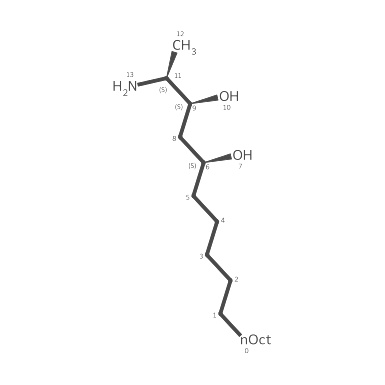 CCCCCCCCCCCCC[C@H](O)C[C@H](O)[C@H](C)N